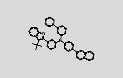 CC(C)(C)c1c(-c2cccc(N(c3ccc(-c4ccc5ccccc5c4)cc3)c3cccc(-c4ccccc4)c3)c2)oc2ccccc12